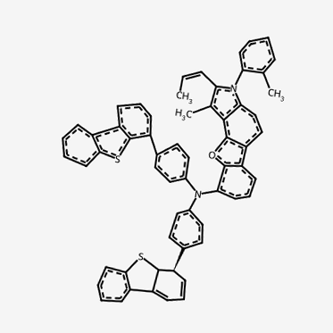 C/C=C\c1c(C)c2c3oc4c(N(c5ccc(-c6cccc7c6sc6ccccc67)cc5)c5ccc([C@H]6C=CC=C7c8ccccc8SC76)cc5)cccc4c3ccc2n1-c1ccccc1C